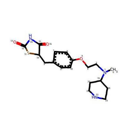 CN(CCOc1ccc(CC2SC(=O)NC2=O)cc1)C1CCNCC1